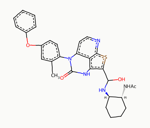 CC(=O)N[C@@H]1CCCC[C@H]1NC(O)c1sc2nccc3c2c1NC(=O)N3c1ccc(Oc2ccccc2)cc1C